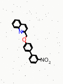 O=[N+]([O-])c1cccc(-c2ccc(OCc3ccc4ccccc4n3)cc2)c1